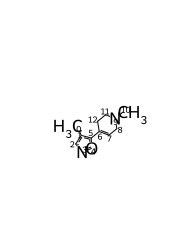 Cc1cnoc1C1=CCN(C)CC1